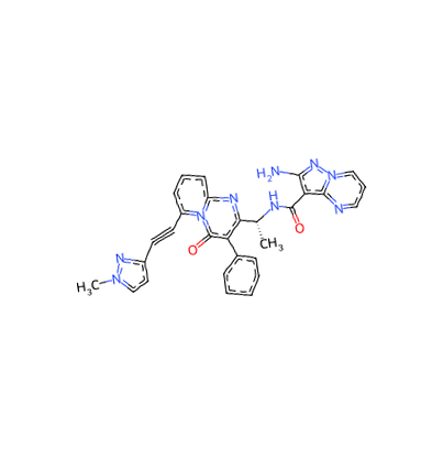 C[C@@H](NC(=O)c1c(N)nn2cccnc12)c1nc2cccc(C#Cc3ccn(C)n3)n2c(=O)c1-c1ccccc1